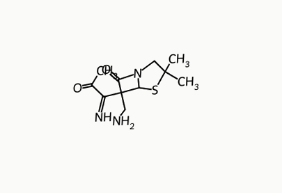 CC(=O)C(=N)C1(CN)C(=O)N2CC(C)(C)SC21